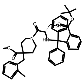 COC(=O)C1(Cc2ccccc2C)CCN(C(=O)[C@H](CS)NC(c2ccccc2)(c2ccccc2)c2ccccc2C(=O)OC(C)(C)C)CC1